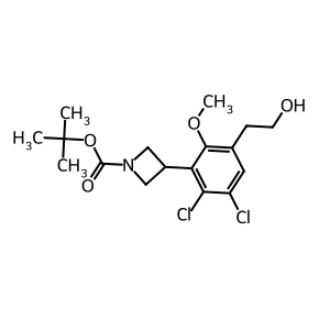 COc1c(CCO)cc(Cl)c(Cl)c1C1CN(C(=O)OC(C)(C)C)C1